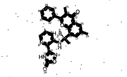 B[C@](C)(Nc1cccnc1-c1noc(=O)[nH]1)c1cc(C)cc2c(=O)c(C)c(-c3ccccc3)oc12